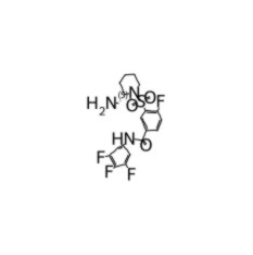 NC[C@@H]1CCCCN1S(=O)(=O)c1cc(C(=O)Nc2cc(F)c(F)c(F)c2)ccc1F